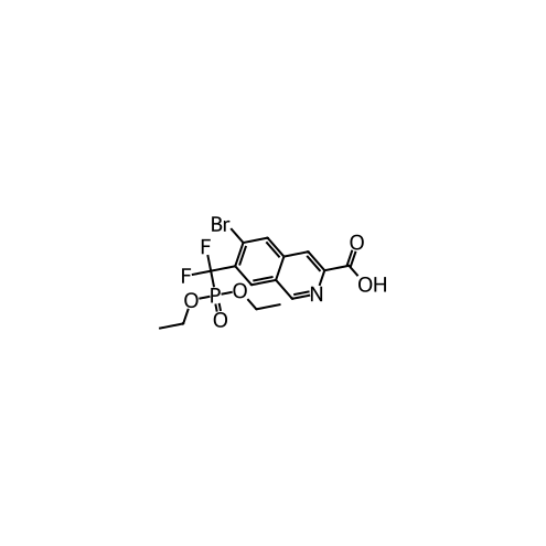 CCOP(=O)(OCC)C(F)(F)c1cc2cnc(C(=O)O)cc2cc1Br